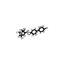 CC1CCC(C2CCC(OCC3CC(C)(C)N(C)C3(C)C)CC2)CC1